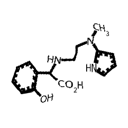 CN(CCNC(C(=O)O)c1ccccc1O)c1ccc[nH]1